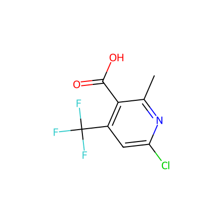 Cc1nc(Cl)cc(C(F)(F)F)c1C(=O)O